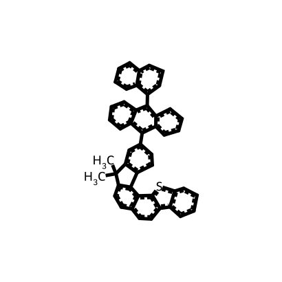 CC1(C)c2cc(-c3c4ccccc4c(-c4cccc5ccccc45)c4ccccc34)ccc2-c2c1ccc1ccc3c4ccccc4sc3c21